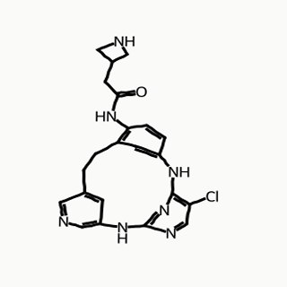 O=C(CC1CNC1)Nc1ccc2cc1CCc1cncc(c1)Nc1ncc(Cl)c(n1)N2